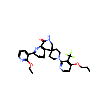 CCCOc1ccnc(N2CCC3(CC2)CNC(=O)c2nc(-c4cccnc4OCC)ccc23)c1C(F)(F)F